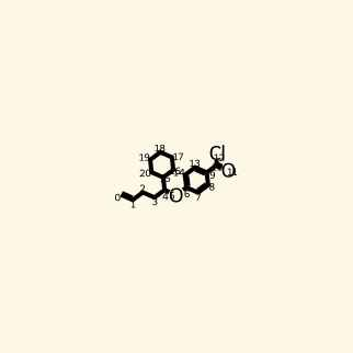 C=CCCC(Oc1ccc(C(=O)Cl)cc1)C1CCCCC1